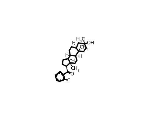 C[C@@]1(O)CC[C@@]2(C)[C@@H](CC[C@@H]3[C@@H]2CC[C@]2(C)[C@@H](C(=O)c4ccccc4F)CC[C@@H]32)C1